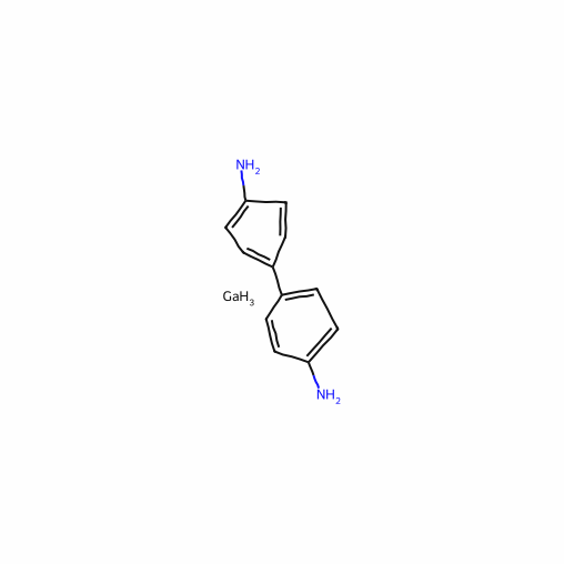 Nc1ccc(-c2ccc(N)cc2)cc1.[GaH3]